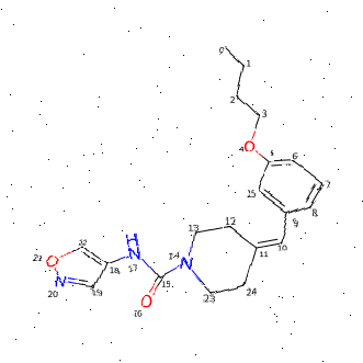 CCCCOc1cccc(C=C2CCN(C(=O)Nc3cnoc3)CC2)c1